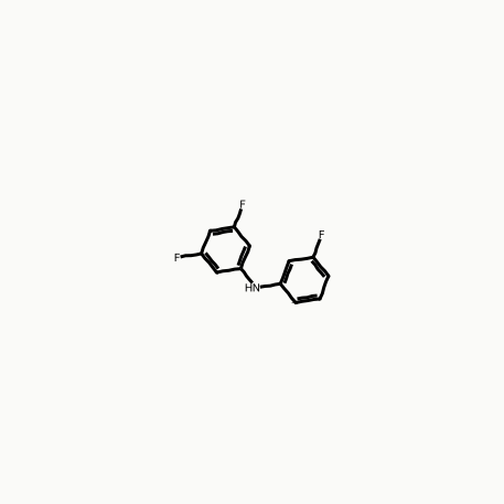 Fc1cc[c]c(Nc2cc(F)cc(F)c2)c1